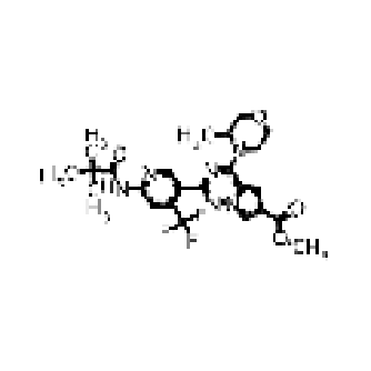 COC(=O)c1cc2c(N3CCOCC3C)nc(-c3cnc(NC(=O)C(C)(C)C)cc3C(F)(F)F)nn2c1